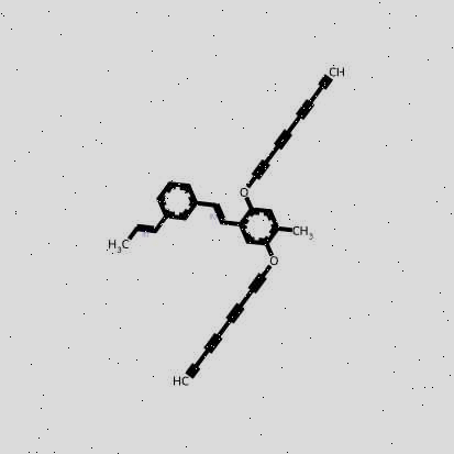 C#CC#CC#CC#COc1cc(/C=C/c2cccc(/C=C/C)c2)c(OC#CC#CC#CC#C)cc1C